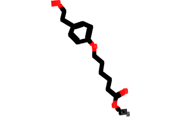 COC(=O)CCCCCOc1ccc(CCO)cc1